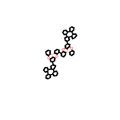 c1ccc2c(c1)Oc1cc(-c3ccc4c(c3)-c3ccccc3-c3ccccc3-c3ccccc3-4)cc3c1B2c1cccc(-c2cccc4c2Oc2cc(-c5ccc6c(c5)-c5ccccc5-c5ccccc5-c5ccccc5-6)cc5c2B4c2ccccc2O5)c1O3